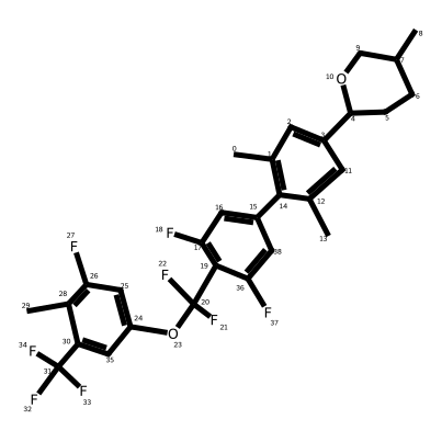 Cc1cc(C2CCC(C)CO2)cc(C)c1-c1cc(F)c(C(F)(F)Oc2cc(F)c(C)c(C(F)(F)F)c2)c(F)c1